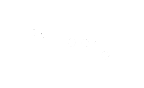 Cc1ccccc1COC(=O)c1ccc(-c2ccc(OC(=O)[C@H]3CC[C@H](CNC(=N)N)CC3)cc2)cc1.Cl